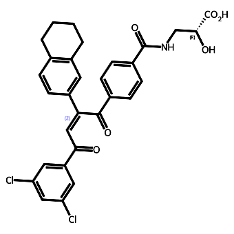 O=C(/C=C(\C(=O)c1ccc(C(=O)NC[C@@H](O)C(=O)O)cc1)c1ccc2c(c1)CCCC2)c1cc(Cl)cc(Cl)c1